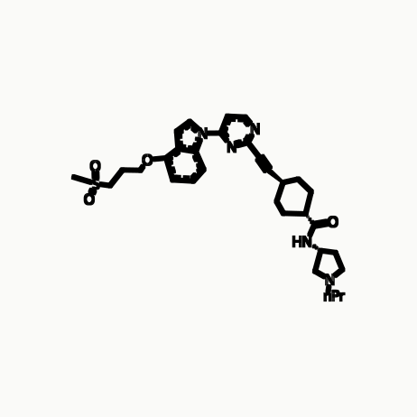 CCCN1CC[C@@H](NC(=O)[C@H]2CC[C@H](C#Cc3nccc(-n4ccc5c(OCCCS(C)(=O)=O)cccc54)n3)CC2)C1